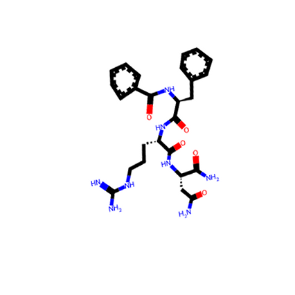 N=C(N)NCCC[C@H](NC(=O)[C@H](Cc1ccccc1)NC(=O)c1ccccc1)C(=O)N[C@@H](CC(N)=O)C(N)=O